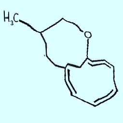 CC1[CH]c2ccccc2OC1